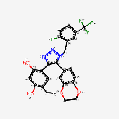 CCc1cc(-c2nnn(Cc3cc(C(F)(F)F)ccc3F)c2-c2ccc3c(c2)OCCO3)c(O)cc1O